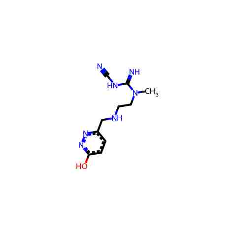 CN(CCNCc1ccc(O)nn1)C(=N)NC#N